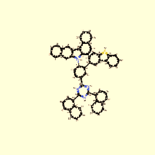 c1ccc2cc3c(cc2c1)c1c2ccccc2ccc1n3-c1ccc(-c2nc(-c3cccc4ccccc34)nc(-c3cccc4ccccc34)n2)cc1-c1ccc2sc3ccccc3c2c1